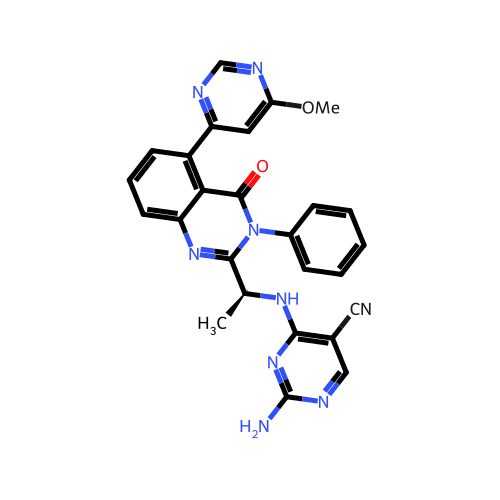 COc1cc(-c2cccc3nc([C@H](C)Nc4nc(N)ncc4C#N)n(-c4ccccc4)c(=O)c23)ncn1